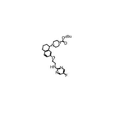 CC(C)(C)OC(=O)N1CCN(C2CCCc3ccc(OCCNc4ncc(F)cn4)cc32)CC1